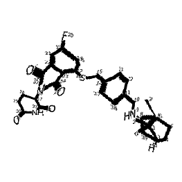 CC1(C)[C@@H]2CC[C@@]1(C)[C@@H](NCc1ccc(CSc3cc(F)cc4c3C(=O)N(C3CCC(=O)NC3=O)C4=O)cc1)C2